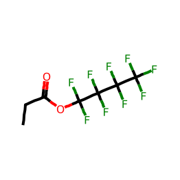 CCC(=O)OC(F)(F)C(F)(F)C(F)(F)C(F)(F)F